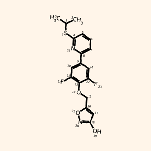 CC(C)Sc1cccc(-c2cc(F)c(OCc3cc(O)no3)c(F)c2)n1